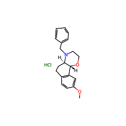 COc1ccc2c(c1)[C@H]1OCCN(Cc3ccccc3)[C@@H]1CC2.Cl